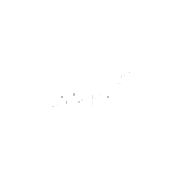 COc1ccc(-c2ccc(C(=O)Nc3ccc(OC[C@@H]4CCCN5CCCC[C@H]45)cc3)cc2)cc1